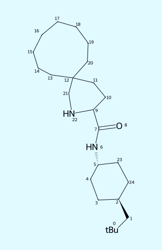 CC(C)(C)C[C@H]1CC[C@H](NC(=O)C2CCC3(CCCCCCCC3)CN2)CC1